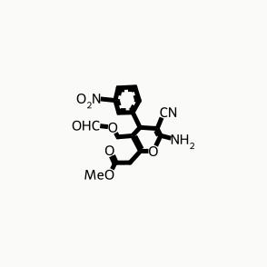 COC(=O)CC1=C(COC=O)C(c2cccc([N+](=O)[O-])c2)C(C#N)=C(N)O1